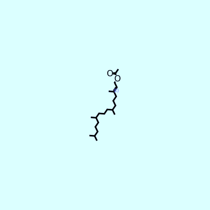 CC(=O)OC/C=C(\C)CCCC(C)CCCC(C)CCCC(C)C